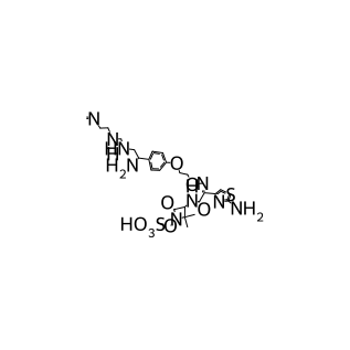 C=NCCNCNCC(N)c1ccc(OCCO/N=C(\C(=O)N[C@@H]2C(=O)N(OS(=O)(=O)O)C2(C)C)c2csc(N)n2)cc1